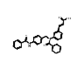 O=C(O)C=Cc1cccc(N(Cc2ccc(NC(=O)c3ccccc3)cc2)C(=O)C2CCCCC2)c1